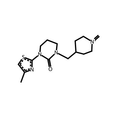 C=[N+]1CCC(CN2CCCN(c3nc(C)cs3)C2=O)CC1